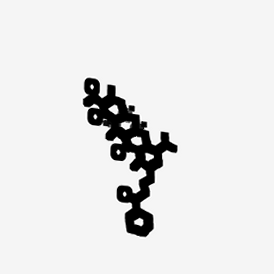 CC(=O)C1=C(C)C[C@@]2(C)C[C@@]3(C)Cc4c(C(C)C)cc(CCCC(=O)c5ccccc5)c(C)c4C(=O)C3=C(C)[C@@]2(C)C1=O